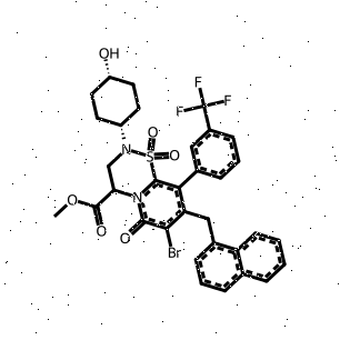 COC(=O)C1CN([C@H]2CC[C@@H](O)CC2)S(=O)(=O)c2c(-c3cccc(C(F)(F)F)c3)c(Cc3cccc4ccccc34)c(Br)c(=O)n21